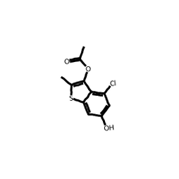 CC(=O)Oc1c(C)sc2cc(O)cc(Cl)c12